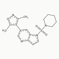 Cc1noc(C)c1-c1cnc2ccn(S(=O)(=O)N3CCCCC3)c2c1